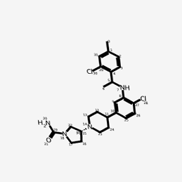 Cc1ccc(C(C)Nc2cc(C3CCN([C@@H]4CCN(C(N)=O)C4)CC3)ccc2Cl)c(Cl)c1